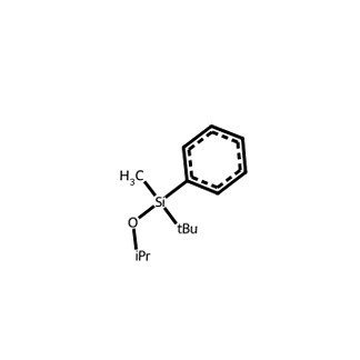 CC(C)O[Si](C)(c1ccccc1)C(C)(C)C